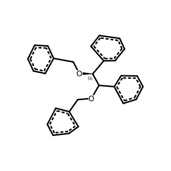 c1ccc(COC(c2ccccc2)[C@@H](OCc2ccccc2)c2ccccc2)cc1